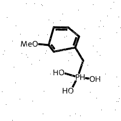 COc1cccc(C[PH](O)(O)O)c1